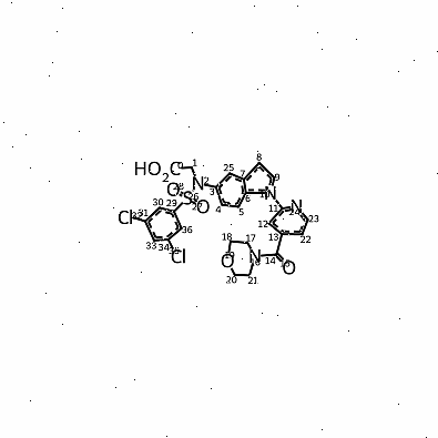 O=C(O)CN(c1ccc2c(ccn2-c2cc(C(=O)N3CCOCC3)ccn2)c1)S(=O)(=O)c1cc(Cl)cc(Cl)c1